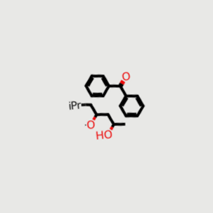 CC(C)CC([O])CC(C)O.O=C(c1ccccc1)c1ccccc1